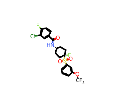 O=C(N[C@H]1CC[C@@](F)(S(=O)(=O)c2cccc(OC(F)(F)F)c2)CC1)c1ccc(F)c(Cl)c1